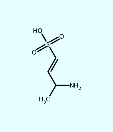 CC(N)/C=C/S(=O)(=O)O